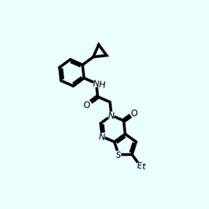 CCc1cc2c(=O)n(CC(=O)Nc3ccccc3C3CC3)cnc2s1